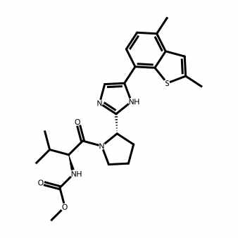 COC(=O)N[C@H](C(=O)N1CCC[C@H]1c1ncc(-c2ccc(C)c3cc(C)sc23)[nH]1)C(C)C